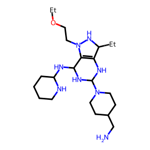 CCOCCN1NC(CC)C2=C1C(NC1CCCCN1)NC(N1CCC(CN)CC1)N2